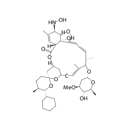 CO[C@H]1C[C@H](OC2/C(C)=C/CC3C[C@@H](C[C@]4(CC[C@H](C)[C@@H](C5CCCCC5)O4)O3)OC(=O)[C@@H]3C=C(C)[C@@H](NO)[C@H]4OC/C(=C\C=C\[C@@H]2C)[C@]43O)O[C@@H](C)[C@@H]1O